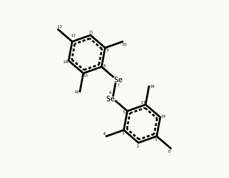 Cc1cc(C)c([Se][Se]c2c(C)cc(C)cc2C)c(C)c1